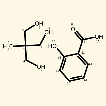 CC(CO)(CO)CO.O=C(O)c1ccccc1O